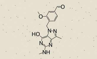 CNc1nc(O)c2c(n1)c(C)nn2Cc1ccc(C=O)cc1OC